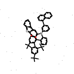 CC(C)(C)c1cc(C(C)(C)C)c2c(c1)C(C)(C)c1cccc(-c3ccccc3N(c3cccc(-c4cccc5ccccc45)c3)c3ccc4oc5ccccc5c4c3)c1-2